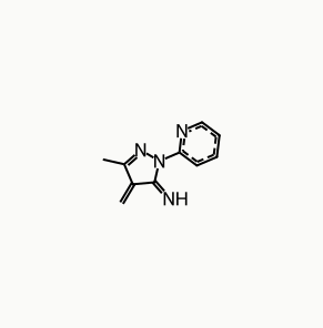 C=C1C(=N)N(c2ccccn2)N=C1C